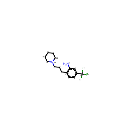 Nc1cc(C(F)(F)F)ccc1CCCN1CCCCC1